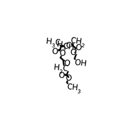 C=C(C)C(=O)OCC1CO1.C=C(C)C(=O)OCCO.C=CC(=O)OCC